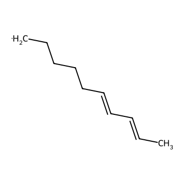 [CH2]CCCCC=CC=CC